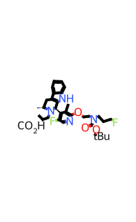 Cc1c(OCCN(CCCF)C(=O)OC(C)(C)C)ncc(F)c1[C@@H]1c2[nH]c3ccccc3c2C[C@@H](C)N1C[C@@H](C)C(=O)O